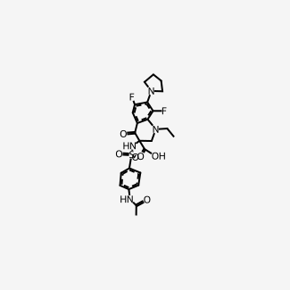 CCN1CC(NS(=O)(=O)c2ccc(NC(C)=O)cc2)(C(=O)O)C(=O)c2cc(F)c(N3CCCC3)c(F)c21